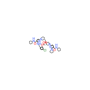 O=C(C[C@@H]1CCCN(c2ccc(C(=O)NC3CCCCC3)c(NCCc3ccc(Cl)cc3)n2)C1)OC(=O)C[C@@H]1CCCN(c2ccc(C(=O)NC3CCCCC3)c(N3CCCCC3)n2)C1